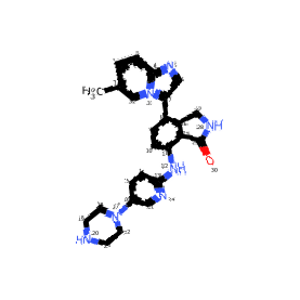 Cc1ccc2ncc(-c3ccc(Nc4ccc(N5CCNCC5)cn4)c4c3CNC4=O)n2c1